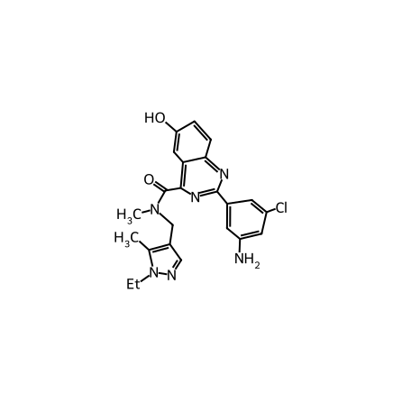 CCn1ncc(CN(C)C(=O)c2nc(-c3cc(N)cc(Cl)c3)nc3ccc(O)cc23)c1C